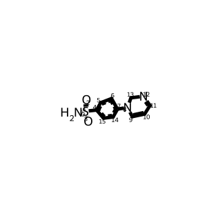 NS(=O)(=O)c1ccc(N2C=CC=NC2)cc1